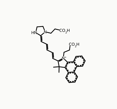 CC1(C)C(/C=C/C=C/C=C2/NCCN2CCC(=O)O)=[N+](CCC(=O)O)c2c1c1ccccc1c1ccccc21